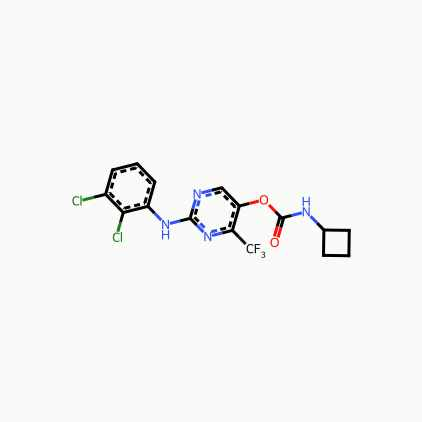 O=C(NC1CCC1)Oc1cnc(Nc2cccc(Cl)c2Cl)nc1C(F)(F)F